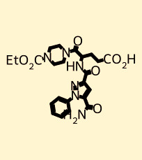 CCOC(=O)N1CCN(C(=O)C(CCC(=O)O)NC(=O)c2cc(C(N)=O)n(-c3ccccc3)n2)CC1